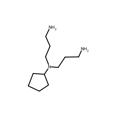 NCCCN(CCCN)C1CCCC1